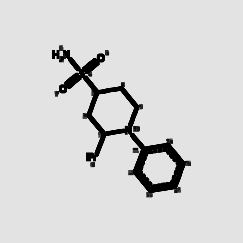 CC(C)C1CC(S(N)(=O)=O)CCN1c1ccccc1